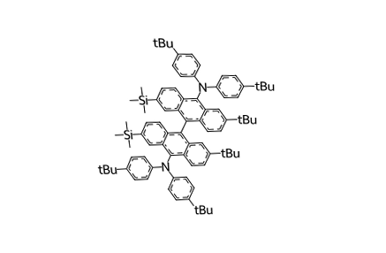 CC(C)(C)c1ccc(N(c2ccc(C(C)(C)C)cc2)c2c3ccc([Si](C)(C)C)cc3c(-c3c4cc(C(C)(C)C)ccc4c(N(c4ccc(C(C)(C)C)cc4)c4ccc(C(C)(C)C)cc4)c4cc([Si](C)(C)C)ccc34)c3ccc(C(C)(C)C)cc23)cc1